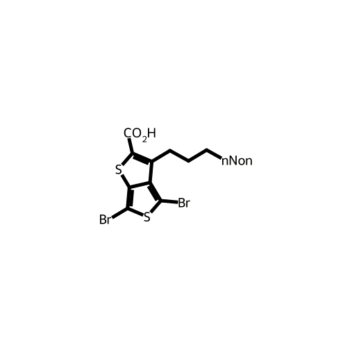 CCCCCCCCCCCCc1c(C(=O)O)sc2c(Br)sc(Br)c12